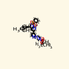 CC(C)(C)OC(=O)N1CCN(c2cc(-c3cnc4c(c3)c(C#C[Si](C)(C)C)cn4S(=O)(=O)c3ccccc3)ccn2)CC1